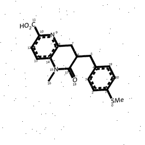 CSc1ccc(CC2Cc3nc(C(=O)O)ccc3N(C)C2=O)cc1